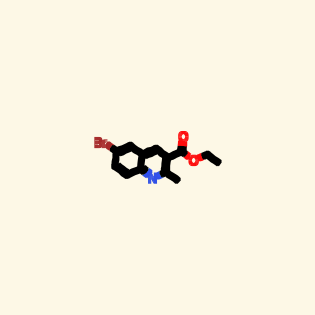 CCOC(=O)c1cc2cc(Br)ccc2nc1C